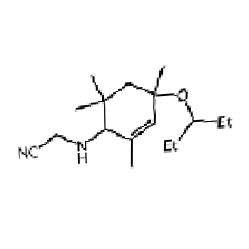 CCC(CC)OC1(C)C=C(C)C(NCC#N)C(C)(C)C1